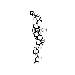 CC(C)CC(=O)N1CCO[C@@H](OC2CC[C@]34CC35CC[C@]3(C)[C@@H]6[C@H](O[C@@H]([C@H](OC(=O)N7CCC7)C(C)C)C[C@H]6C)[C@H](O)[C@@]3(C)[C@@H]5CC[C@H]4C2(C)C)C1